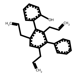 C=CCc1cc(CC=C)c(-c2ccccc2O)c(CC=C)c1-c1ccccc1